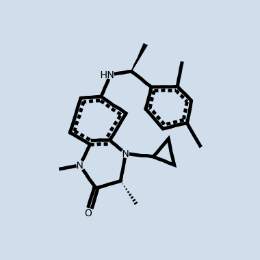 Cc1ccc([C@H](C)Nc2ccc3c(c2)N(C2CC2)[C@H](C)C(=O)N3C)c(C)c1